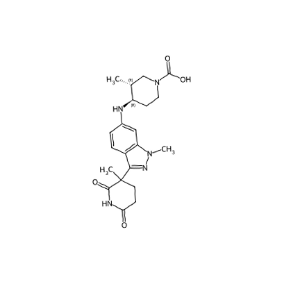 C[C@@H]1CN(C(=O)O)CC[C@H]1Nc1ccc2c(C3(C)CCC(=O)NC3=O)nn(C)c2c1